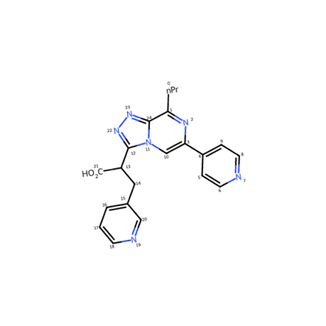 CCCc1nc(-c2ccncc2)cn2c(C(Cc3cccnc3)C(=O)O)nnc12